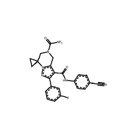 N#Cc1ccc(NC(=O)c2c(-c3cccc(F)c3)nn3c2CN(C(N)=O)CC32CC2)cc1